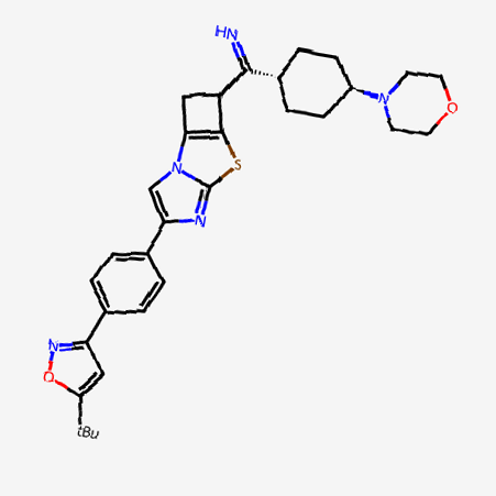 CC(C)(C)c1cc(-c2ccc(-c3cn4c5c(sc4n3)C(C(=N)[C@H]3CC[C@H](N4CCOCC4)CC3)C5)cc2)no1